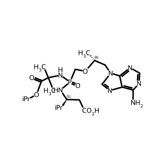 CC(C)OC(=O)C(C)(C)NP(=O)(CO[C@H](C)Cn1cnc2c(N)ncnc21)N[C@@H](CC(=O)O)C(C)C